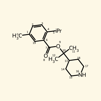 Cc1ccc(C(C)C)c(C(=O)OC(C)(C)C2CCNCC2)c1